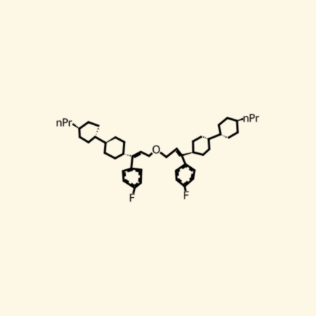 CCC[C@H]1CC[C@H]([C@H]2CC[C@H](C(=CCOCC=C(c3ccc(F)cc3)[C@H]3CC[C@H]([C@H]4CC[C@H](CCC)CC4)CC3)c3ccc(F)cc3)CC2)CC1